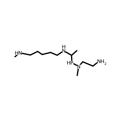 CNCCCCCNC(C)PN(C)CCN